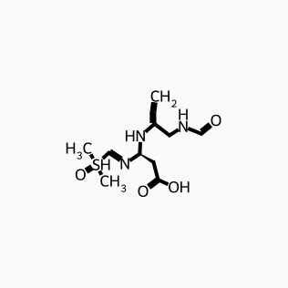 C=C=C(CNC=O)N[C@@H](CC(=O)O)/N=C/[SH](C)(C)=O